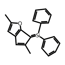 CC1=Cc2cc(C)oc2C1=[Si](c1ccccc1)c1ccccc1